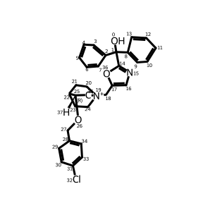 OC(c1ccccc1)(c1ccccc1)c1ncc(C[N+]23CCC(CC2)[C@@H](OCc2ccc(Cl)cc2)C3)o1